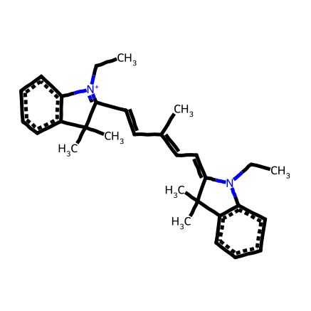 CCN1/C(=C/C=C(C)/C=C/C2=[N+](CC)c3ccccc3C2(C)C)C(C)(C)c2ccccc21